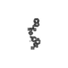 CCc1cc2c(s1)CCO[C@@]21CCN(C[C@H]2C[C@@H](NC(=O)CN3CCc4ccccc43)C2)[C@@H](C)C1